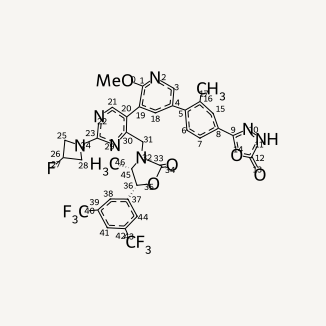 COc1ncc(-c2ccc(-c3n[nH]c(=O)o3)cc2C)cc1-c1cnc(N2CC(F)C2)nc1CN1C(=O)O[C@H](c2cc(C(F)(F)F)cc(C(F)(F)F)c2)[C@@H]1C